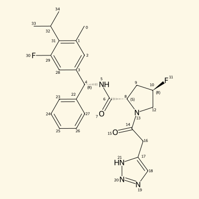 Cc1cc([C@H](NC(=O)[C@@H]2C[C@@H](F)CN2C(=O)Cc2cnn[nH]2)c2ccccc2)cc(F)c1C(C)C